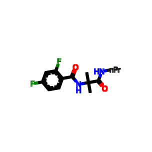 CCCNC(=O)C(C)(C)NC(=O)c1ccc(F)cc1F